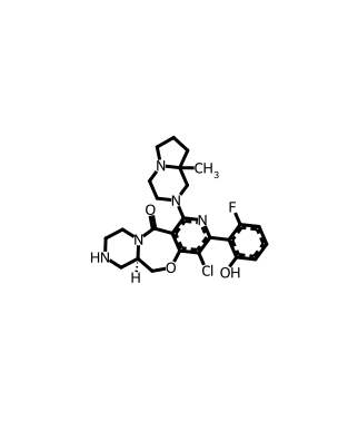 CC12CCCN1CCN(c1nc(-c3c(O)cccc3F)c(Cl)c3c1C(=O)N1CCNC[C@@H]1CO3)C2